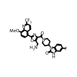 COc1ccc(-c2nc(C(=O)N3CCC(n4c(=O)[nH]c5cc(F)ccc54)CC3)c(CN)o2)c2ccc(C(F)(F)F)nc12